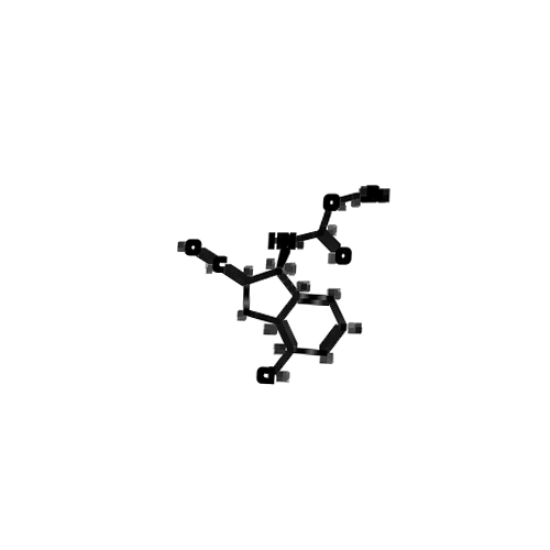 CC(C)(C)OC(=O)N[C@@H]1C(=C=O)Cc2c(Cl)cccc21